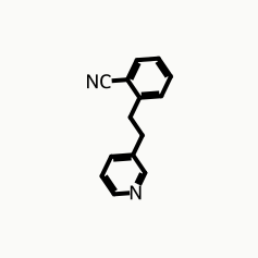 N#Cc1ccccc1CCc1cccnc1